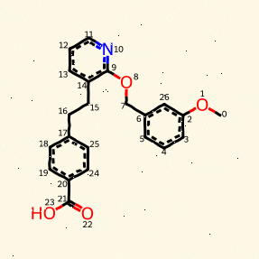 COc1cccc(COc2ncccc2CCc2ccc(C(=O)O)cc2)c1